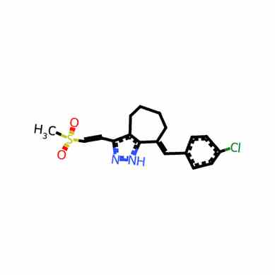 CS(=O)(=O)/C=C/c1n[nH]c2c1CCCC/C2=C\c1ccc(Cl)cc1